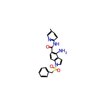 Cc1ccc(NC(=O)c2ccc3c(ccn3S(=O)(=O)Cc3ccccc3)c2N)nc1